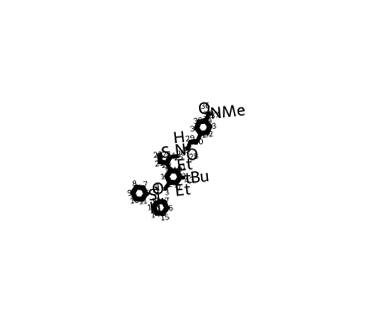 CCc1c(CO[SiH](c2ccccc2)c2ccccc2)cc(-c2ccsc2CNC(=O)C=Cc2ccc(C(=O)NC)cc2)c(CC)c1C(C)(C)C